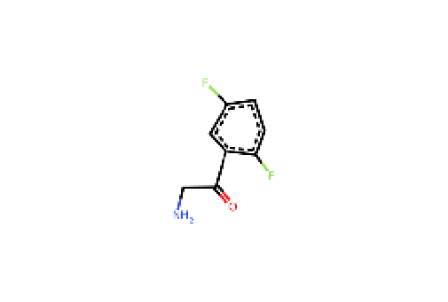 NCC(=O)c1cc(F)ccc1F